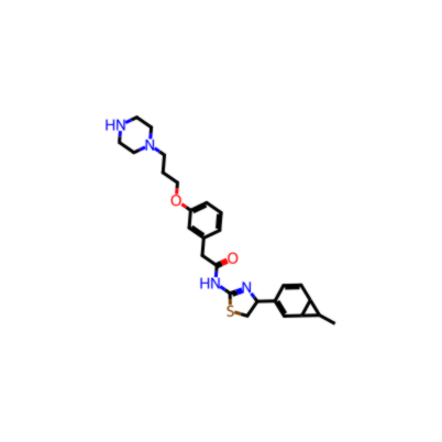 CC1C2C=CC(C3CSC(NC(=O)Cc4cccc(OCCCN5CCNCC5)c4)=N3)=CC12